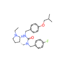 CCN1CC[C@@H](CN(Cc2ccc(F)cc2)C(=O)NCc2ccc(OCC(C)C)cc2)C1